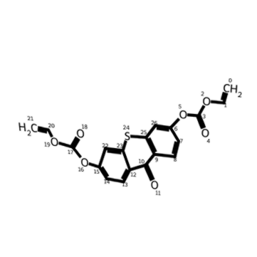 C=COC(=O)Oc1ccc2c(=O)c3ccc(OC(=O)OC=C)cc3sc2c1